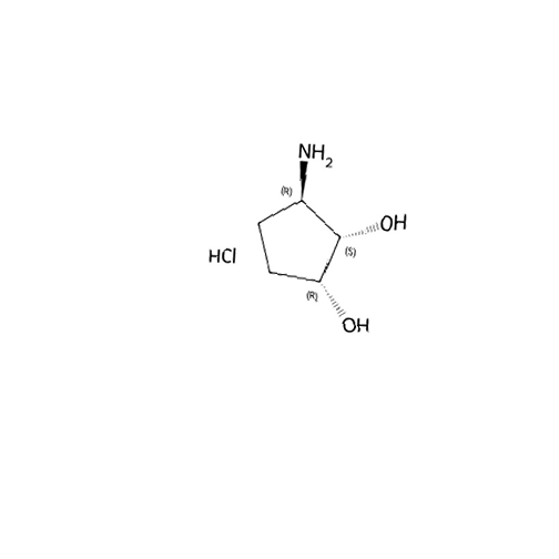 Cl.N[C@@H]1CC[C@@H](O)[C@H]1O